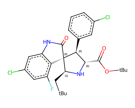 CC(C)(C)C[C@@H]1N[C@@H](C(=O)OC(C)(C)C)[C@H](c2cccc(Cl)c2)[C@]12C(=O)Nc1cc(Cl)cc(F)c12